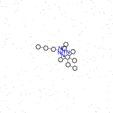 c1ccc(-c2ccc(-c3ccc(-c4nc(-c5ccccc5)nc(-n5c6ccccc6c6c(-c7cccc(-c8ccccc8)c7)c(-c7ccccc7)c7c8ccccc8n(-c8ccccc8)c7c65)n4)cc3)cc2)cc1